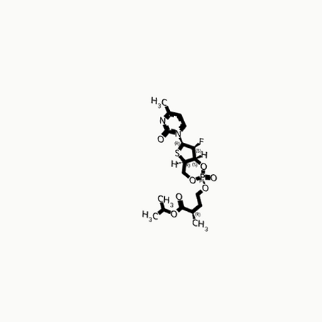 Cc1ccn([C@@H]2S[C@@H]3CO[P@@](=O)(OCC[C@@H](C)C(=O)OC(C)C)O[C@H]3[C@@H]2F)c(=O)n1